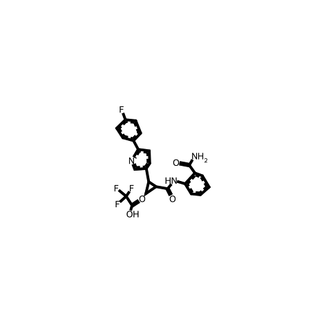 NC(=O)c1ccccc1NC(=O)C1CC1c1ccc(-c2ccc(F)cc2)nc1.O=C(O)C(F)(F)F